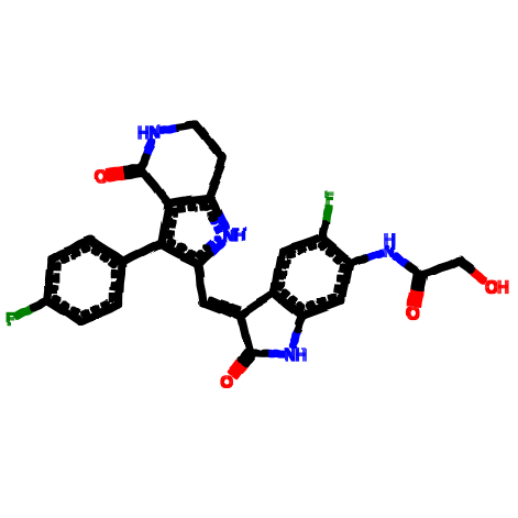 O=C(CO)Nc1cc2c(cc1F)/C(=C\c1[nH]c3c(c1-c1ccc(F)cc1)C(=O)NCC3)C(=O)N2